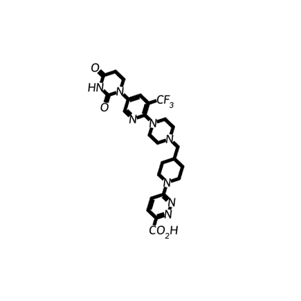 O=C1CCN(c2cnc(N3CCN(CC4CCN(c5ccc(C(=O)O)nn5)CC4)CC3)c(C(F)(F)F)c2)C(=O)N1